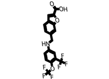 O=C(O)c1cc2ccc(CNc3ccc(OC(F)(F)F)c(C(F)(F)F)c3)cc2o1